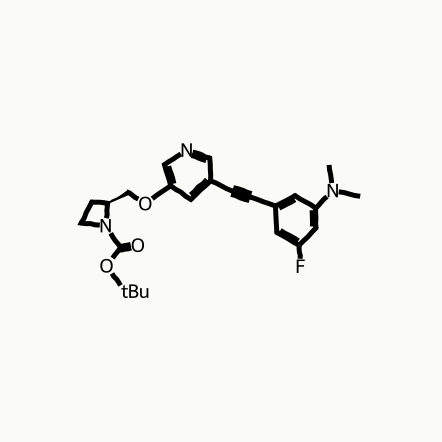 CN(C)c1cc(F)cc(C#Cc2cncc(OC[C@@H]3CCN3C(=O)OC(C)(C)C)c2)c1